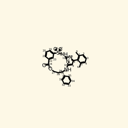 Cc1cccc(C)c1-c1cc2nc(n1)NS(=O)(=O)c1cccc(c1)C(=O)OCC[C@@H](c1ccccc1)N2